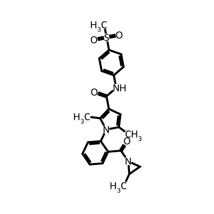 Cc1cc(C(=O)Nc2ccc(S(C)(=O)=O)cc2)c(C)n1-c1ccccc1C(=O)N1CC1C